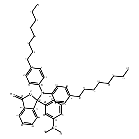 CCCCCCCCc1ccc(N(c2ccc(CCCCCCCC)cc2)C2(c3cccc(N(C)C)c3)OC(=O)c3ccccc32)cc1